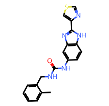 Cc1ccccc1CNC(=O)Nc1ccc2[nH]c(-c3cscn3)nc2c1